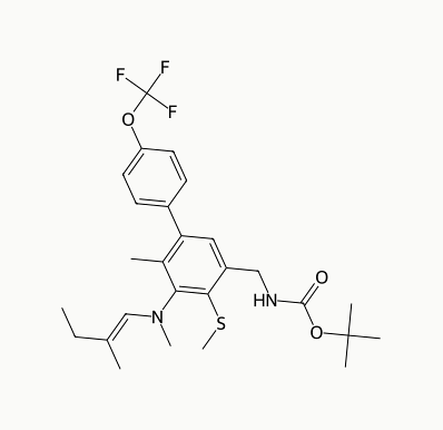 CC/C(C)=C/N(C)c1c(C)c(-c2ccc(OC(F)(F)F)cc2)cc(CNC(=O)OC(C)(C)C)c1SC